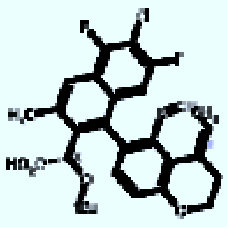 C=Nc1c(-c2c([C@H](OC(C)(C)C)C(=O)O)c(C)cc3c(F)c(Cl)c(F)cc23)ccc2c1/C(=C\C)CCO2